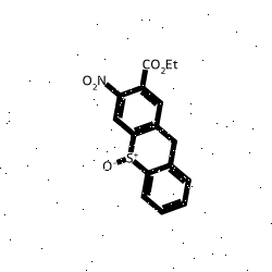 CCOC(=O)c1cc2c(cc1[N+](=O)[O-])[S+]([O-])c1ccccc1C2